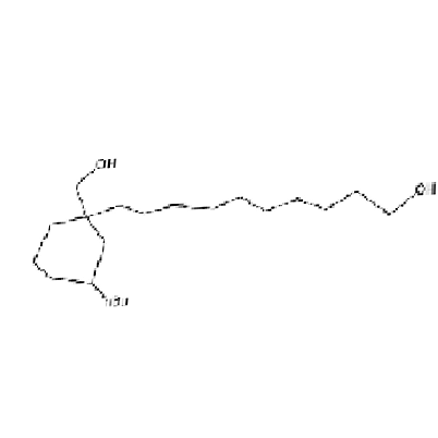 CCCCC1CCCC(CO)(CCCCCCCCCCO)C1